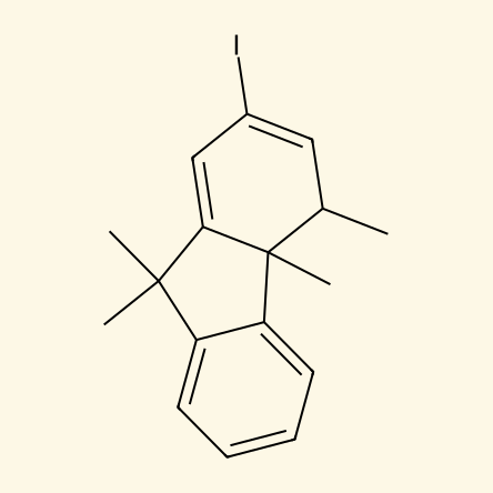 CC1C=C(I)C=C2C(C)(C)c3ccccc3C21C